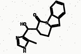 Cc1[nH]cnc1C(O)C1CCc2cc3ccccc3n2C1=O